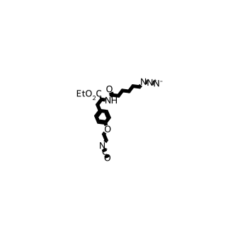 CCOC(=O)[C@H](Cc1ccc(OCCN=C=O)cc1)NC(=O)CCCCCN=[N+]=[N-]